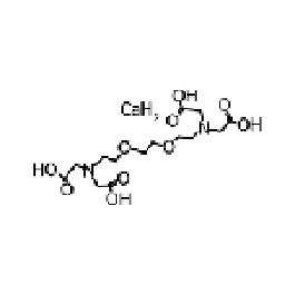 O=C(O)CN(CCOCCOCCN(CC(=O)O)CC(=O)O)CC(=O)O.[CaH2]